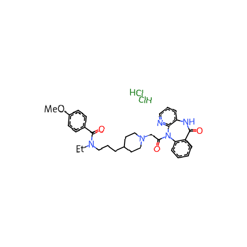 CCN(CCCC1CCN(CC(=O)N2c3ccccc3C(=O)Nc3cccnc32)CC1)C(=O)c1ccc(OC)cc1.Cl.Cl